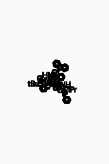 Cc1ccccc1C[C@H](NC(=O)[C@H](CCC(=O)OC(C)(C)C)NC(=O)OCC1c2ccccc2-c2ccccc21)C(=O)N[C@H](C(=O)N[C@@H](CC(C)C)C(=O)OCc1ccccc1)C1CCCCC1